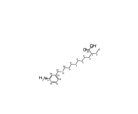 CCC(CCCCCCCCCCc1cccc(N)c1)C(=O)O